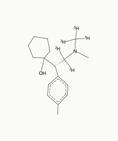 [2H]C([2H])([2H])N(C)C([2H])([2H])[C@H](c1ccc(C)cc1)C1(O)CCCCC1